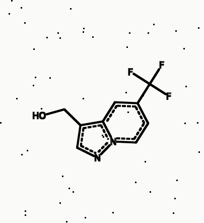 OCc1cnn2ccc(C(F)(F)F)cc12